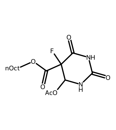 CCCCCCCCOC(=O)C1(F)C(=O)NC(=O)NC1OC(C)=O